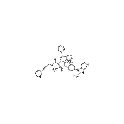 CCOC(=O)C1=C(c2ccc(-n3c(C)nc4cnccc43)cc2)NC(C)=C(C(=O)OCC#Cc2cccnc2)C1C=C(c1ccccc1)c1ccccc1